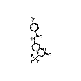 O=C(Nc1ccc2c(C(F)(F)F)cc(=O)oc2c1)c1ccc(Br)cc1